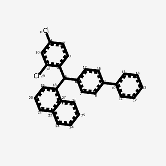 Clc1ccc([C](c2ccc(-c3ccccc3)cc2)c2cccc3ccccc23)c(Cl)c1